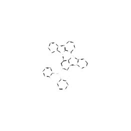 Cc1ccccc1N(c1cc2c3ccccc3n3c4cccc5c6ccccc6n(c(c1)c23)c54)c1ccccc1C